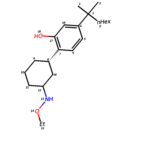 CCCCCCC(C)(C)c1ccc([C@H]2CCCC(NOCC)C2)c(O)c1